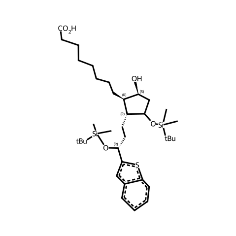 CC(C)(C)[Si](C)(C)OC1C[C@H](O)[C@H](CCCCCCCC(=O)O)[C@H]1CC[C@@H](O[Si](C)(C)C(C)(C)C)c1cc2ccccc2s1